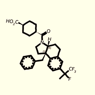 CC(F)(c1ccc2c(c1)CC[C@H]1N(C(=O)[C@H]3CC[C@H](C(=O)O)CC3)CC[C@@]21Cc1ccccc1)C(F)(F)F